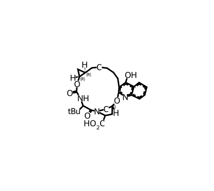 CC(C)(C)C1NC(=O)O[C@@H]2C[C@H]2CCCCCc2c(nc3ccccc3c2O)O[C@@H]2CC(C(=O)O)N(C2)C1=O